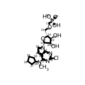 CN(c1nc(Cl)nc2c1ccn2[C@@H]1O[C@H](COCP(=O)(O)O)[C@@H](O)[C@H]1O)C1CCCC1